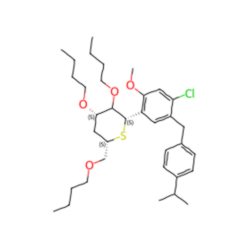 CCCCOC[C@@H]1C[C@H](OCCCC)C(OCCCC)[C@H](c2cc(Cc3ccc(C(C)C)cc3)c(Cl)cc2OC)S1